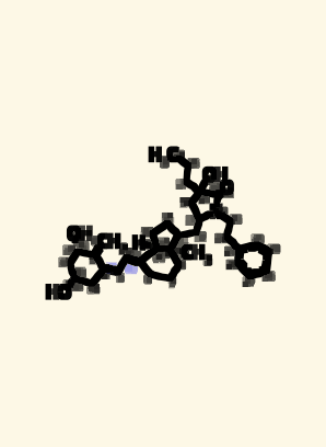 C=C1/C(=C\C=C2/CCC[C@]3(C)C(CC4CC(O)(CCC)C(=O)N4CCc4ccccc4)CC[C@@H]23)C[C@@H](O)C[C@@H]1O